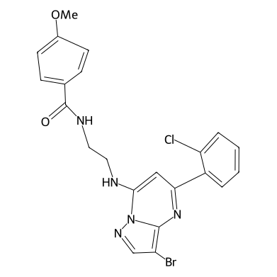 COc1ccc(C(=O)NCCNc2cc(-c3ccccc3Cl)nc3c(Br)cnn23)cc1